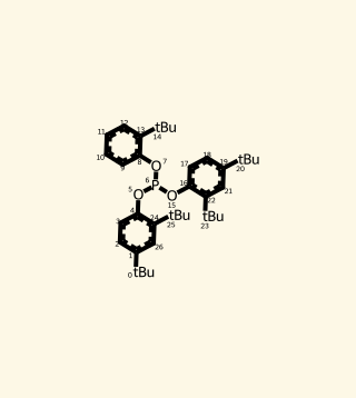 CC(C)(C)c1ccc(OP(Oc2ccccc2C(C)(C)C)Oc2ccc(C(C)(C)C)cc2C(C)(C)C)c(C(C)(C)C)c1